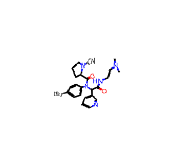 CN(C)CCNC(=O)C(c1cccnc1)N(C(=O)C1CCCN1C#N)c1ccc(C(C)(C)C)cc1